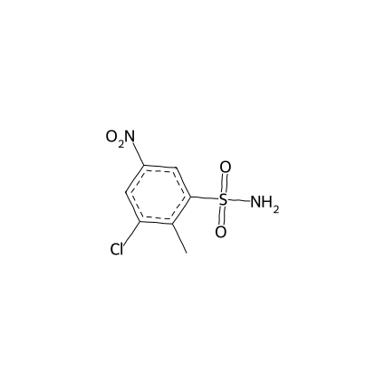 Cc1c(Cl)cc([N+](=O)[O-])cc1S(N)(=O)=O